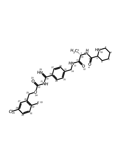 C[C@H](NC(=O)C1CCCCN1)C(=O)NCc1ccc(C(=N)NC(=O)OCc2cc(Cl)ccc2F)cc1